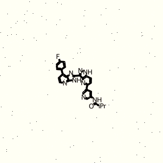 CC(C)C(=O)Nc1cncc(-c2ccc3[nH]nc(-c4nc5c(-c6ccc(F)cc6)ccnc5[nH]4)c3n2)c1